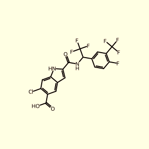 O=C(NC(c1ccc(F)c(C(F)(F)F)c1)C(F)(F)F)c1cc2cc(C(=O)O)c(Cl)cc2[nH]1